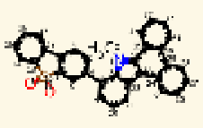 Cn1c2c(-c3ccc4c(c3)S(=O)(=O)c3ccccc3-4)cccc2c2c3ccccc3c3ccccc3c21